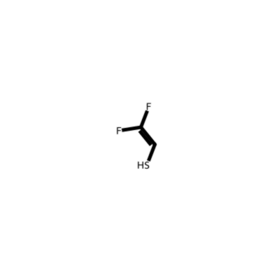 FC(F)=CS